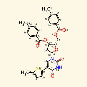 Cc1ccc(C(=O)OC[C@@H]2O[C@H](n3cc(-c4ccc(C)s4)c(=O)[nH]c3=O)C[C@H]2OC(=O)c2ccc(C)cc2)cc1